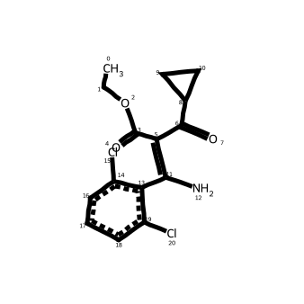 CCOC(=O)/C(C(=O)C1CC1)=C(/N)c1c(Cl)cccc1Cl